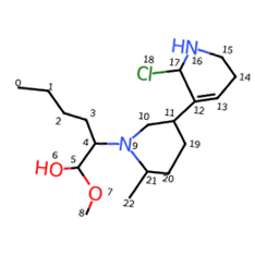 CCCCC(C(O)OC)N1CC(C2=CCCNC2Cl)CCC1C